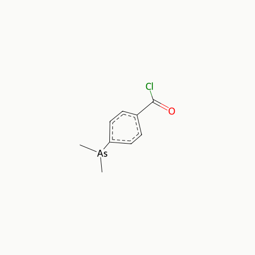 C[As](C)c1ccc(C(=O)Cl)cc1